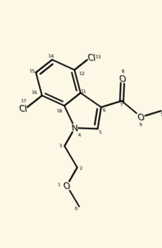 COCCn1cc(C(=O)OC)c2c(Cl)ccc(Cl)c21